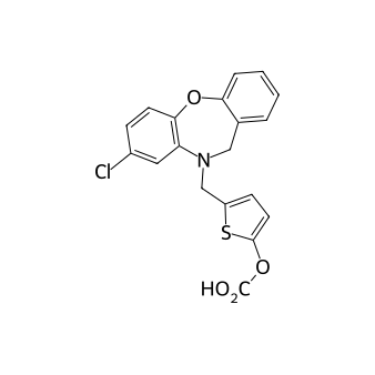 O=C(O)Oc1ccc(CN2Cc3ccccc3Oc3ccc(Cl)cc32)s1